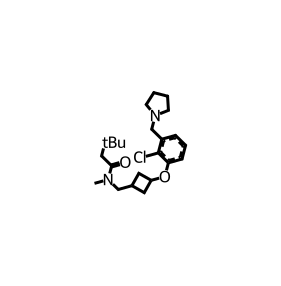 CN(CC1CC(Oc2cccc(CN3CCCC3)c2Cl)C1)C(=O)CC(C)(C)C